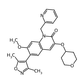 COc1cc2c(cc1-c1c(C)noc1C)cc(OC1CCOCC1)c(=O)n2Cc1ccccn1